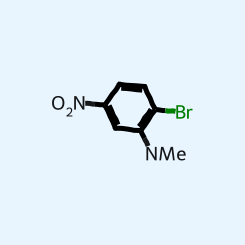 CNc1cc([N+](=O)[O-])ccc1Br